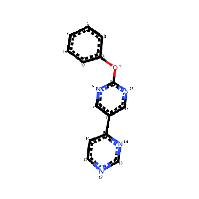 c1ccc(Oc2ncc(-c3ccncn3)cn2)cc1